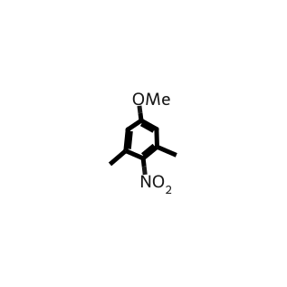 COc1cc(C)c([N+](=O)[O-])c(C)c1